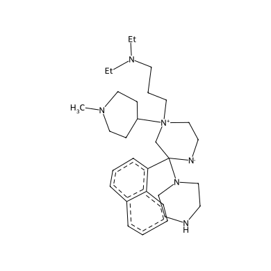 CCN(CC)CCC[N+]1(C2CCN(C)CC2)CC[N]C(c2cccc3ccccc23)(N2CCNCC2)C1